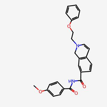 COc1ccc(C(=O)NC(=O)c2ccc3c(c2)CN(CCOc2ccccc2)C=C3)cc1